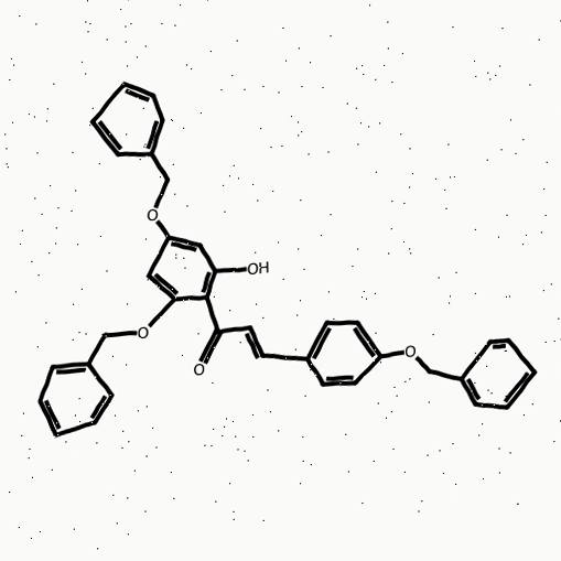 O=C(/C=C/c1ccc(OCc2ccccc2)cc1)c1c(O)cc(OCc2ccccc2)cc1OCc1ccccc1